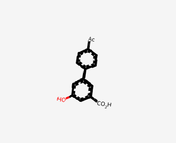 CC(=O)c1ccc(-c2cc(O)cc(C(=O)O)c2)cc1